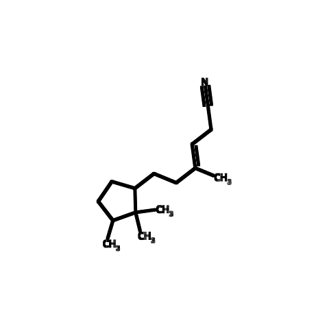 CC(=CCC#N)CCC1CCC(C)C1(C)C